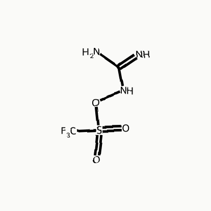 N=C(N)NOS(=O)(=O)C(F)(F)F